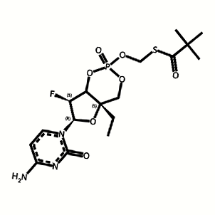 CC[C@]12COP(=O)(OCSC(=O)C(C)(C)C)OC1[C@H](F)[C@H](n1ccc(N)nc1=O)O2